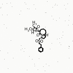 CNC(C)C(=O)N[C@H]1CCCC[C@H]2CC[C@@H](CS(=O)(=O)CCc3ccccc3)N2C1=O